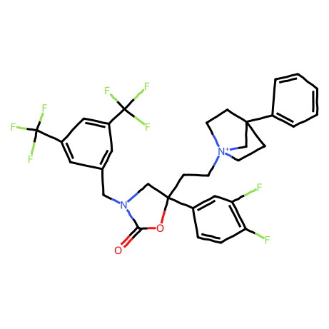 O=C1OC(CC[N+]23CCC(c4ccccc4)(CC2)C3)(c2ccc(F)c(F)c2)CN1Cc1cc(C(F)(F)F)cc(C(F)(F)F)c1